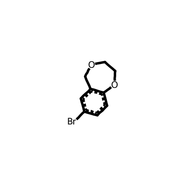 Brc1ccc2c(c1)COCCO2